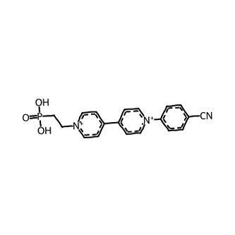 N#Cc1ccc(-[n+]2ccc(-c3cc[n+](CCP(=O)(O)O)cc3)cc2)cc1